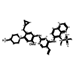 C=Cc1cnc(Nc2cc(CC3CC3)c(N3CCC(N)CC3)cc2OC)nc1Nc1ccc2nccnc2c1N(C)S(C)(=O)=O